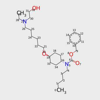 CCCCCN(C(=O)OCc1ccccc1)[C@H]1CC[C@H](OCCCCCCN(CC)CCO)CC1